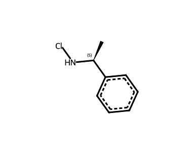 C[C@H](NCl)c1ccccc1